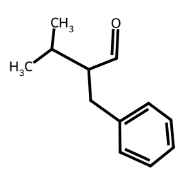 CC(C)C(C=O)Cc1ccccc1